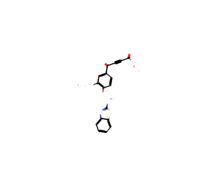 COc1cc(C(=O)C#CC(=O)OC(C)(C)C)ccc1ON(C(C)=O)c1nc2ccccc2s1